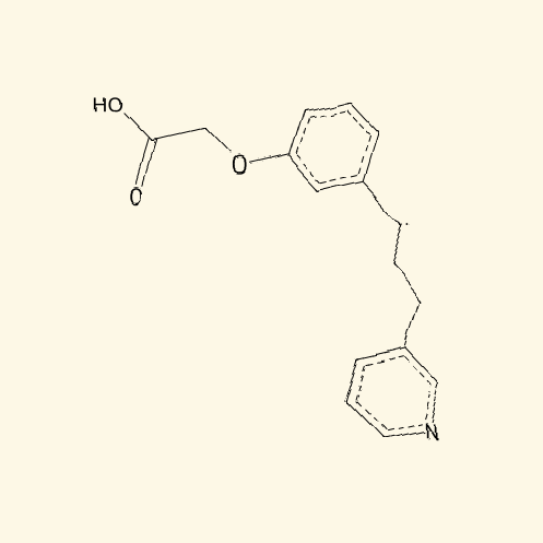 O=C(O)COc1cccc([CH]CCc2cccnc2)c1